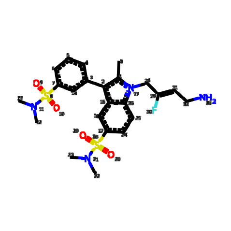 Cc1c(-c2cccc(S(=O)(=O)N(C)C)c2)c2cc(S(=O)(=O)N(C)C)ccc2n1CC(F)=CCN